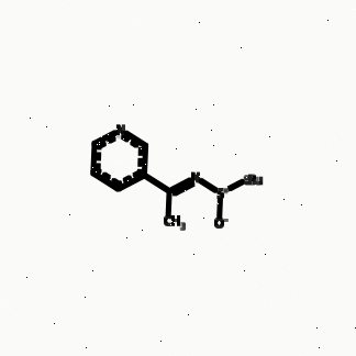 CC(=N[S+]([O-])C(C)(C)C)c1cccnc1